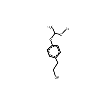 CCOC(C)Oc1ccc(CCO)cc1